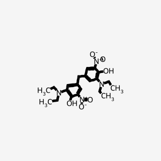 CCN(CC)c1cc(Cc2cc(N(CC)CC)c(O)c([N+](=O)[O-])c2)cc([N+](=O)[O-])c1O